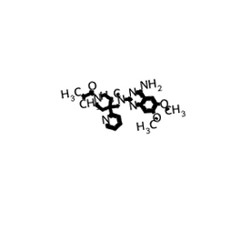 COc1cc2nc(N(C)CC3(c4ccccn4)CCN(C(=O)C(C)C)CC3)nc(N)c2cc1OC